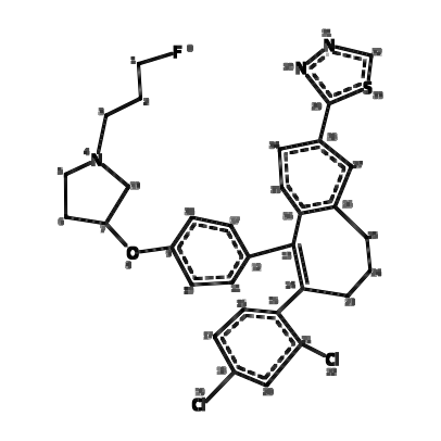 FCCCN1CCC(Oc2ccc(C3=C(c4ccc(Cl)cc4Cl)CCCc4cc(-c5nncs5)ccc43)cc2)C1